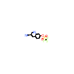 N#Cc1cnc2cc(OS(=O)(=O)C(F)(F)F)ccc2c1